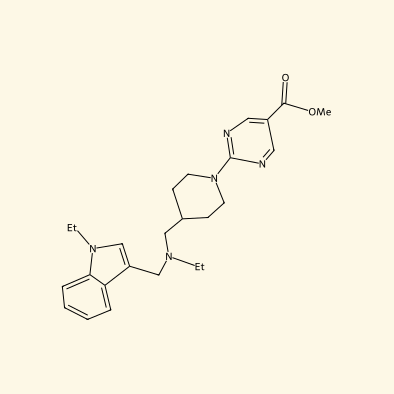 CCN(Cc1cn(CC)c2ccccc12)CC1CCN(c2ncc(C(=O)OC)cn2)CC1